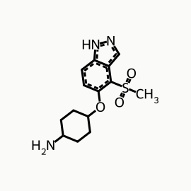 CS(=O)(=O)c1c(OC2CCC(N)CC2)ccc2[nH]ncc12